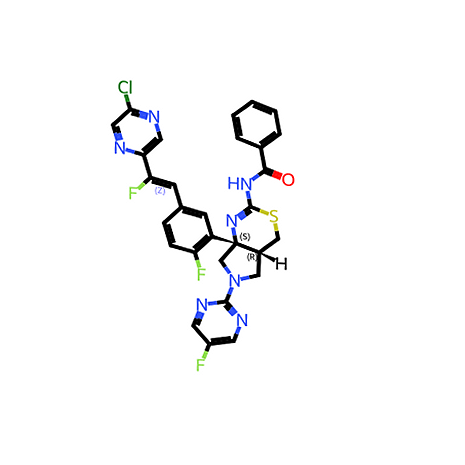 O=C(NC1=N[C@@]2(c3cc(/C=C(\F)c4cnc(Cl)cn4)ccc3F)CN(c3ncc(F)cn3)C[C@H]2CS1)c1ccccc1